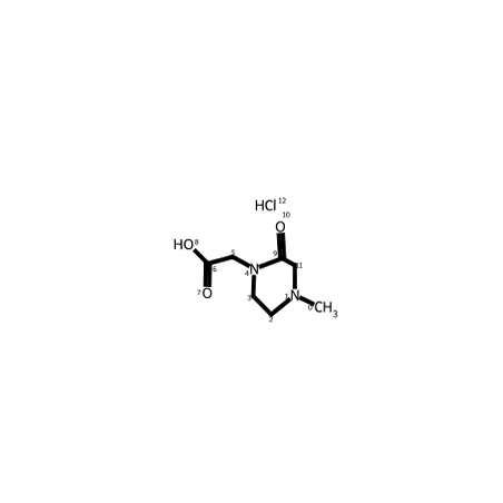 CN1CCN(CC(=O)O)C(=O)C1.Cl